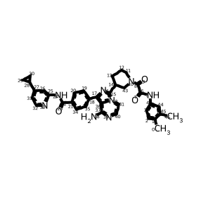 Cc1ccc(NC(=O)C(=O)N2CCCC(c3nc(-c4ccc(C(=O)Nc5cc(C6CC6)ccn5)cc4)c4c(N)nccn34)C2)cc1C